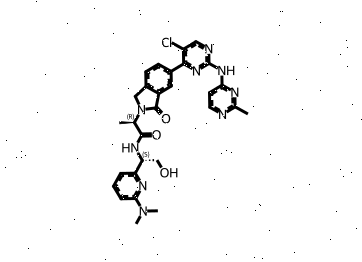 Cc1nccc(Nc2ncc(Cl)c(-c3ccc4c(c3)C(=O)N([C@H](C)C(=O)N[C@H](CO)c3cccc(N(C)C)n3)C4)n2)n1